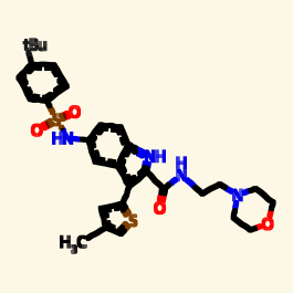 Cc1csc(-c2c(C(=O)NCCN3CCOCC3)[nH]c3ccc(NS(=O)(=O)c4ccc(C(C)(C)C)cc4)cc23)c1